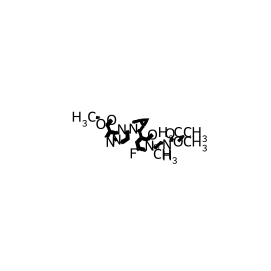 CCOC(=O)c1cnn2ccc(N3CC4CC4C3c3cc(F)cn([C@@H](C)CNC(=O)OC(C)(C)C)c3=O)nc12